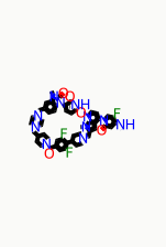 CNc1cc(=O)n(-c2ccnc3c2cc(CN2CCC(c4c(F)cc(C(=O)N5CCC(CN6CCN(Cc7ccc8c(c7)n(C)c(=O)n8[C@@H]7CCC(=O)NC7=O)CC6)CC5)cc4F)CC2)n3C)cc1F